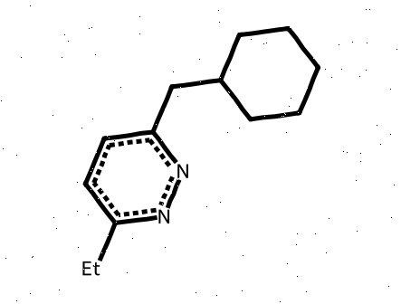 CCc1ccc(CC2CCCCC2)nn1